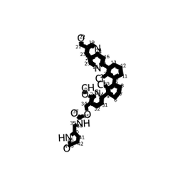 COc1nc(-c2cccc(-c3cccc(-c4cc5ncc(C=O)cc5cn4)c3Cl)c2Cl)ccc1COC(=O)NCC1CCC(=O)N1